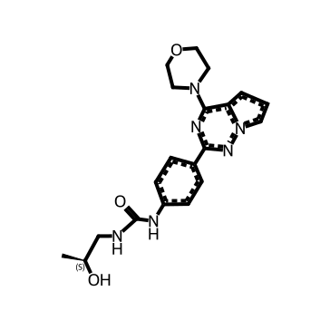 C[C@H](O)CNC(=O)Nc1ccc(-c2nc(N3CCOCC3)c3cccn3n2)cc1